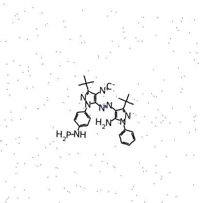 [C-]#[N+]c1c(C(C)(C)C)nn(-c2ccc(NP)cc2)c1/N=N/c1c(C(C)(C)C)nn(-c2ccccc2)c1N